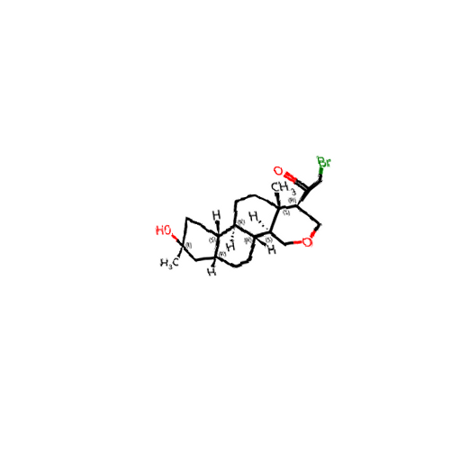 C[C@@]1(O)CC[C@H]2[C@H](CC[C@@H]3[C@@H]2CC[C@]2(C)[C@@H](C(=O)CBr)COC[C@@H]32)C1